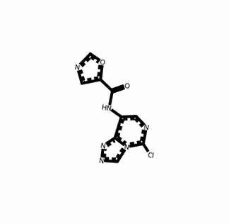 O=C(Nc1cnc(Cl)n2cnnc12)c1cnco1